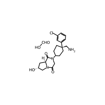 NC[C@]1(c2cccc(Cl)c2)CC[C@H](N2CC(=O)N3C[C@H](O)C[C@H]3C2=O)CC1.O=CO